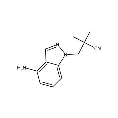 CC(C)(C#N)Cn1ncc2c(N)cccc21